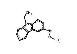 CCn1c2ccccc2c2cc(NOC)ccc21